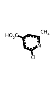 C.O=C(O)c1ccnc(Cl)c1